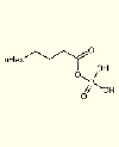 CCCCCCCCCC(=O)OP(=O)(O)O